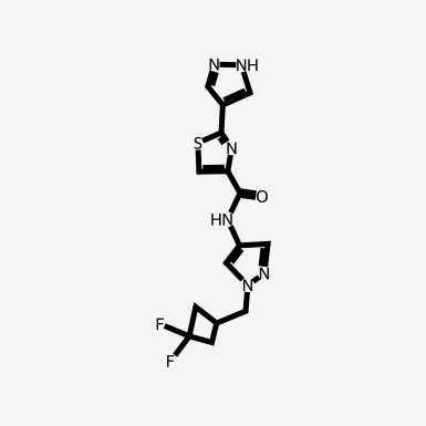 O=C(Nc1cnn(CC2CC(F)(F)C2)c1)c1csc(-c2cn[nH]c2)n1